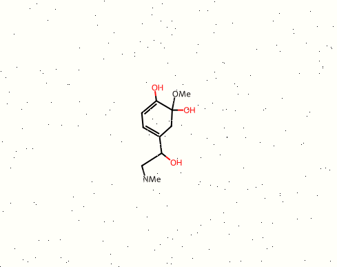 CNCC(O)C1=CC=C(O)C(O)(OC)C1